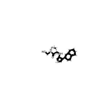 CC(C)C[C@H](Nc1cscc1-c1ccc2ccccc2c1)C(=O)NCC#N